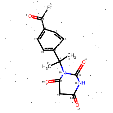 CCC(=O)c1ccc(C(C)(C)N2C(=O)CC(=O)NC2=O)cc1